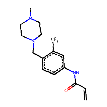 C=CC(=O)Nc1ccc(CN2CCN(C)CC2)c(C(F)(F)F)c1